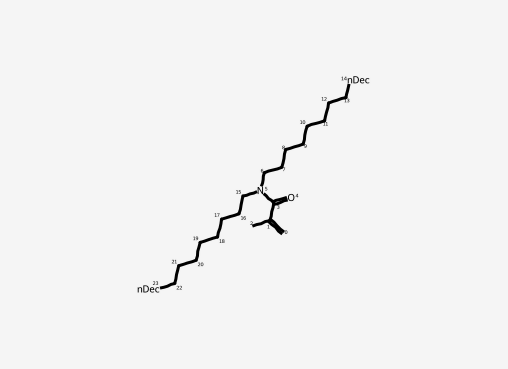 C=C(C)C(=O)N(CCCCCCCCCCCCCCCCCC)CCCCCCCCCCCCCCCCCC